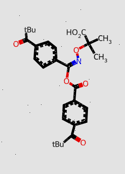 CC(C)(C)C(=O)c1ccc(C(=O)OC(=NOC(C)(C)C(=O)O)c2ccc(C(=O)C(C)(C)C)cc2)cc1